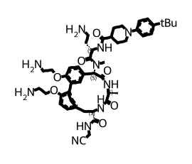 C[C@@H]1NC(=O)[C@@H](N(C)C(=O)[C@H](CCN)NC(=O)C2CCN(c3ccc(C(C)(C)C)cc3)CC2)c2ccc(OCCN)c(c2)-c2cc(ccc2OCCN)C[C@@H](C(=O)NCC#N)NC1=O